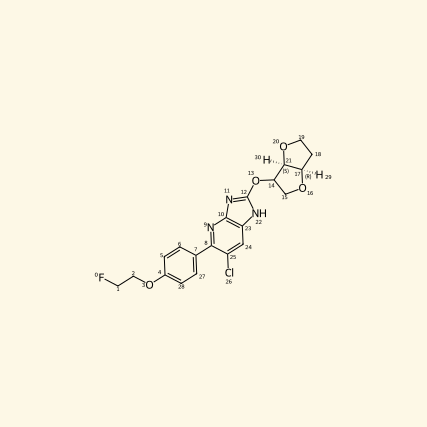 FCCOc1ccc(-c2nc3nc(OC4CO[C@@H]5CCO[C@H]45)[nH]c3cc2Cl)cc1